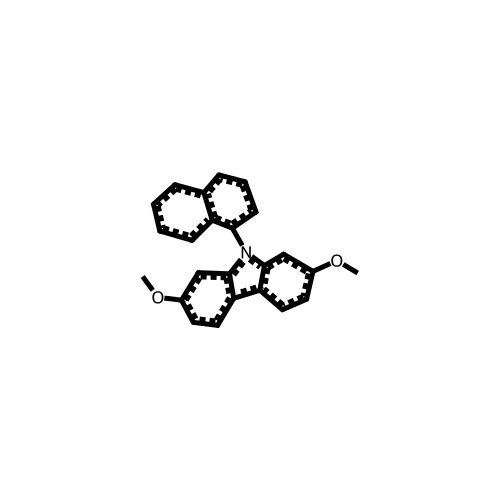 COc1ccc2c3ccc(OC)cc3n(-c3cccc4ccccc34)c2c1